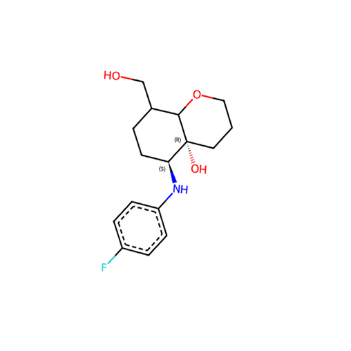 OCC1CC[C@H](Nc2ccc(F)cc2)[C@]2(O)CCCOC12